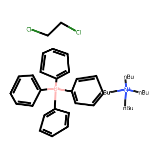 CCCC[N+](CCCC)(CCCC)CCCC.ClCCCl.c1ccc([B-](c2ccccc2)(c2ccccc2)c2ccccc2)cc1